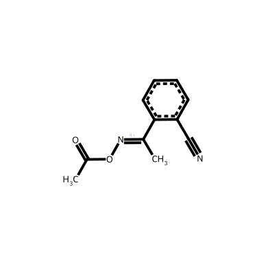 CC(=O)O/N=C(\C)c1ccccc1C#N